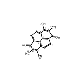 N#CC1=C(C#N)c2ccc3c4c(ccc(c24)C1=O)C(C#N)=C(C#N)C3=O